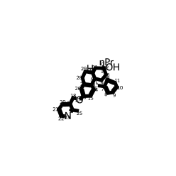 CCC[C@@]1(O)CC[C@@]2(Cc3ccccc3)c3ccc(OCc4cccnc4C)cc3CC[C@@H]2C1